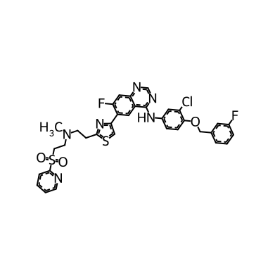 CN(CCc1nc(-c2cc3c(Nc4ccc(OCc5cccc(F)c5)c(Cl)c4)ncnc3cc2F)cs1)CCS(=O)(=O)c1ccccn1